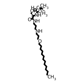 CCCCCCCCCCCCCCOCCCNCCCNC(=O)[C@@H](CO)NC(=O)OC(C)(C)C